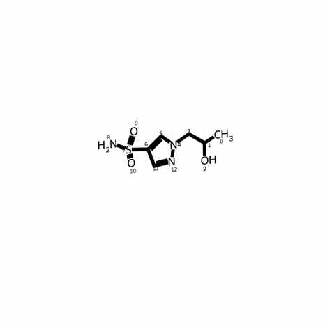 CC(O)Cn1cc(S(N)(=O)=O)cn1